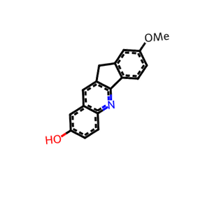 COc1ccc2c(c1)Cc1cc3cc(O)ccc3nc1-2